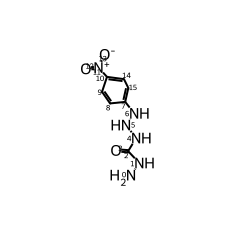 NNC(=O)NNNc1ccc([N+](=O)[O-])cc1